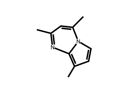 Cc1cc(C)n2ccc(C)c2n1